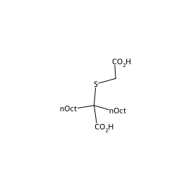 CCCCCCCCC(CCCCCCCC)(SCC(=O)O)C(=O)O